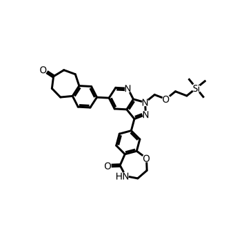 C[Si](C)(C)CCOCn1nc(-c2ccc3c(c2)OCCNC3=O)c2cc(-c3ccc4c(c3)CCC(=O)CC4)cnc21